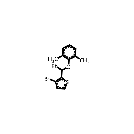 CCC(Oc1c(C)cccc1C)c1sccc1Br